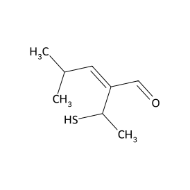 CC(C)C=C(C=O)C(C)S